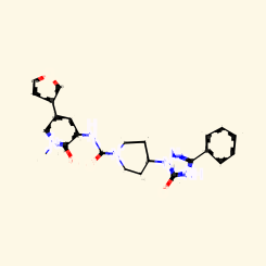 Cn1cc(-c2ccoc2)cc(NC(=O)N2CCC(n3nc(-c4ccccc4)[nH]c3=O)CC2)c1=O